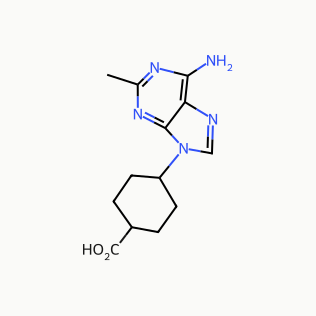 Cc1nc(N)c2ncn(C3CCC(C(=O)O)CC3)c2n1